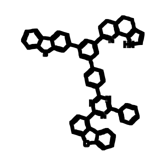 c1ccc(-c2nc(-c3ccc(-c4cc(C5=NC6=C(CC5)CCc5cc[nH]c56)cc(-c5ccc6c(c5)sc5ccccc56)c4)cc3)nc(-c3cccc4oc5ccccc5c34)n2)cc1